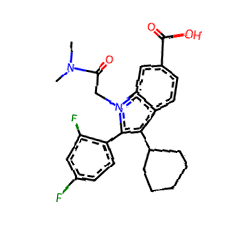 CN(C)C(=O)Cn1c(-c2ccc(F)cc2F)c(C2CCCCC2)c2ccc(C(=O)O)cc21